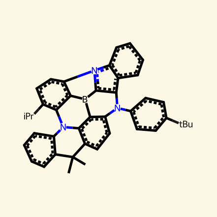 CC(C)c1ccc2c3c1N1c4ccccc4C(C)(C)c4ccc5c(c41)B3c1c(c3ccccc3n1-2)N5c1ccc(C(C)(C)C)cc1